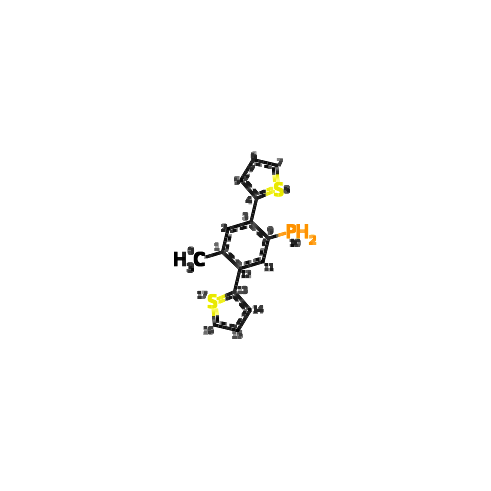 Cc1cc(-c2cccs2)c(P)cc1-c1cccs1